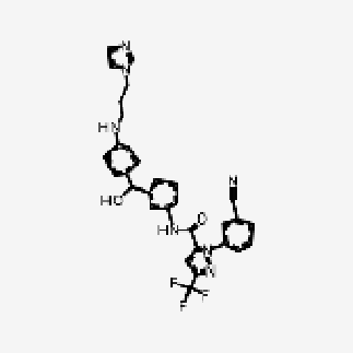 N#Cc1cccc(-n2nc(C(F)(F)F)cc2C(=O)Nc2cccc(C(O)c3ccc(NCCCn4ccnc4)cc3)c2)c1